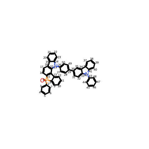 O=P1(c2ccccc2)c2ccccc2-c2c1ccc1c3ccccc3n(-c3ccc(-c4ccc5c(c4)c4ccccc4n5-c4ccccc4)cc3)c21